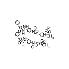 CC(C)OC(=O)C(C)N1CCN(CC2CN(c3ccc(C(=N)NC(=O)OCc4ccccc4)cc3)C(=O)O2)CC1.CS(=O)(=O)OCC1CN(c2ccc(C(=N)NC(=O)OCc3ccccc3)cc2)C(=O)O1